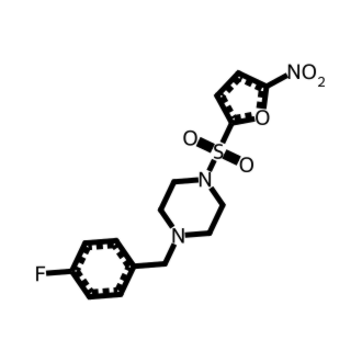 O=[N+]([O-])c1ccc(S(=O)(=O)N2CCN(Cc3ccc(F)cc3)CC2)o1